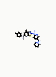 Cc1ccc(Nc2cc(C)c3nc(Nc4ccc(CN5CCCCC5)cn4)sc3n2)cc1